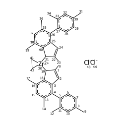 CC1=Cc2c(-c3ccc(C)cc3C)c(C)cc(C)c2[CH]1[Zr+2]1([CH]2C(C)=Cc3c(-c4ccc(C)cc4C)c(C)cc(C)c32)[CH2][CH2]1.[Cl-].[Cl-]